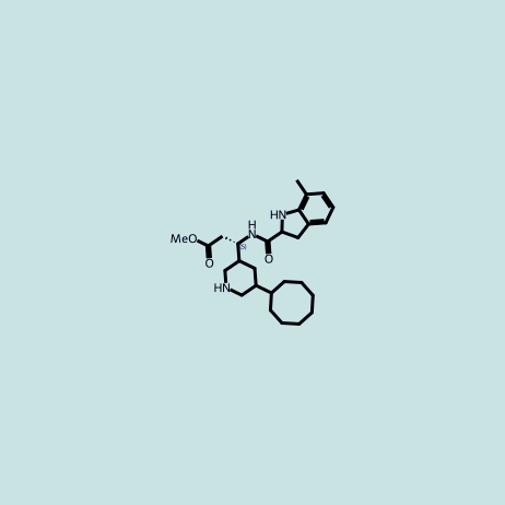 COC(=O)C[C@H](NC(=O)C1Cc2cccc(C)c2N1)C1CNCC(C2CCCCCCC2)C1